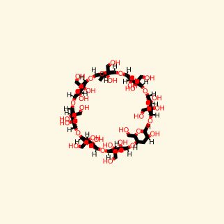 C[C@H]1C(O)[C@@H]2O[C@H]3OC(CO)[C@@H](O[C@H]4OC(CO)[C@@H](O[C@H]5OC(CO)[C@H](C[C@@H]5O)O[C@H]5OC(CO)[C@@H](O[C@H]6OC(CO)[C@@H](O[C@H]7OC(CO)[C@@H](O[C@H]8OC(CO)[C@@H](O[C@H]1OC2CO)C(O)[C@@H]8O)[C@H](O)C7O)[C@H](O)C6O)[C@H](O)C5O)C(O)[C@@H]4O)C(O)[C@@H]3O